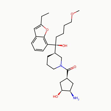 CCc1cc2cccc([C@](O)(CCCCOC)[C@@H]3CCCN(C(=O)[C@H]4C[C@@H](N)[C@@H](O)C4)C3)c2o1